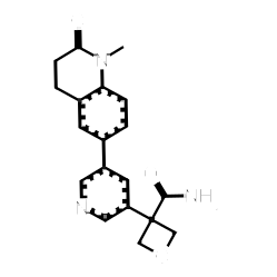 CN1C(=O)CCc2cc(-c3cncc(C4(C(N)=O)COC4)c3)ccc21